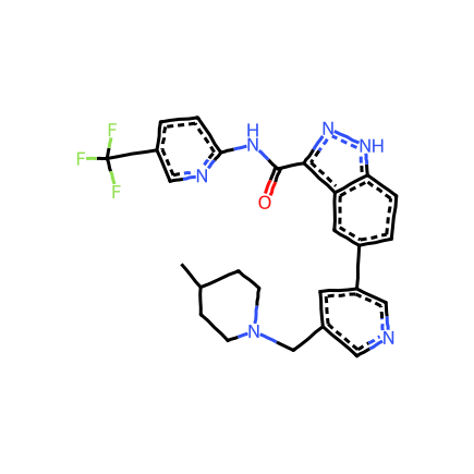 CC1CCN(Cc2cncc(-c3ccc4[nH]nc(C(=O)Nc5ccc(C(F)(F)F)cn5)c4c3)c2)CC1